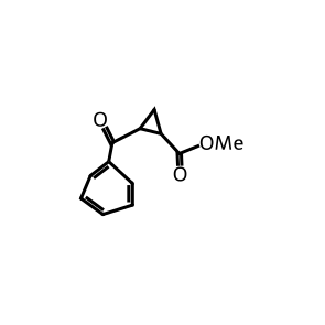 COC(=O)C1CC1C(=O)c1ccccc1